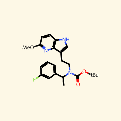 COc1ccc2[nH]cc(CCN(C(=O)OC(C)(C)C)C(C)c3cccc(F)c3)c2n1